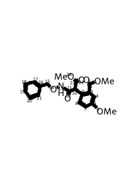 COC(=O)c1cc(OC)ccc1C(C(=O)NOCc1ccccc1)C(=O)OC